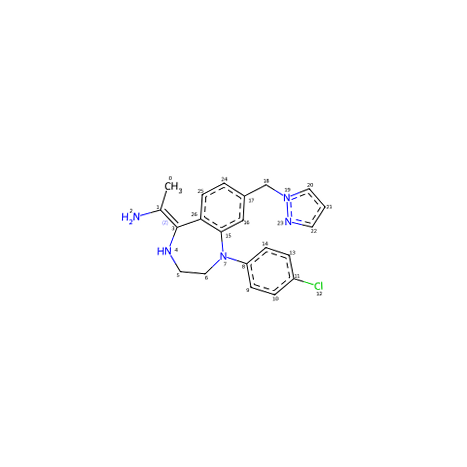 C/C(N)=C1/NCCN(c2ccc(Cl)cc2)c2cc(Cn3cccn3)ccc21